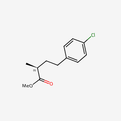 COC(=O)[C@@H](C)CCc1ccc(Cl)cc1